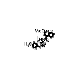 COc1cc(C(=O)Nc2nnn(Cc3ccc(C)cc3)c2C)c2ccccc2n1